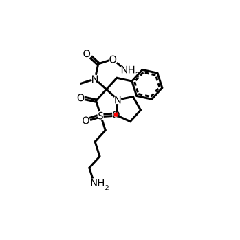 CN(C(=O)ON)C(Cc1ccccc1)(C(=O)S(=O)(=O)CCCCN)N1CCCC1